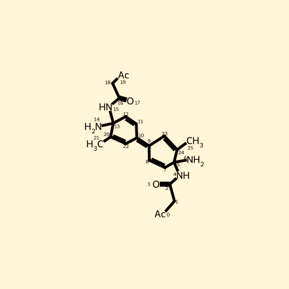 CC(=O)CC(=O)NC1(N)C=CC(=C2C=CC(N)(NC(=O)CC(C)=O)C(C)=C2)C=C1C